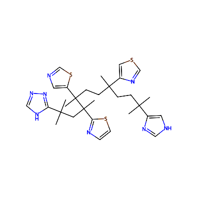 CC(C)(CCC(C)(CCC(C)(c1cncs1)C(C)(CC(C)(C)c1nnc[nH]1)c1nccs1)c1cscn1)c1c[nH]cn1